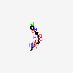 CCCC(=O)NS(=O)(=O)c1ccc(C(=O)NC(=O)C23CC(c4nc5cc(Cl)ccc5o4)(C2)C3)o1